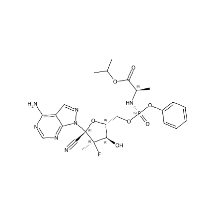 CC(C)OC(=O)[C@@H](C)N[P@](=O)(OC[C@H]1O[C@@](C#N)(n2ncc3c(N)ncnc32)[C@](C)(F)[C@@H]1O)Oc1ccccc1